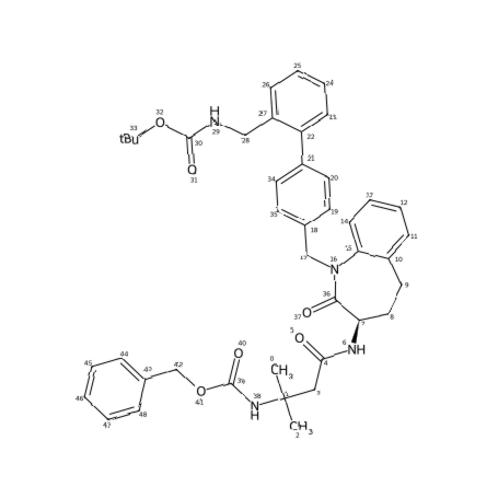 CC(C)(CC(=O)N[C@@H]1CCc2ccccc2N(Cc2ccc(-c3ccccc3CNC(=O)OC(C)(C)C)cc2)C1=O)NC(=O)OCc1ccccc1